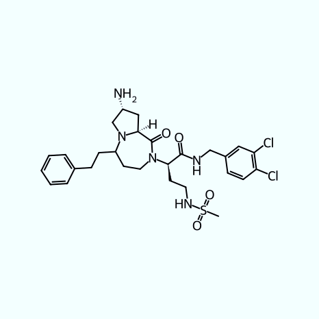 CS(=O)(=O)NCC[C@H](C(=O)NCc1ccc(Cl)c(Cl)c1)N1CCC(CCc2ccccc2)N2C[C@H](N)C[C@H]2C1=O